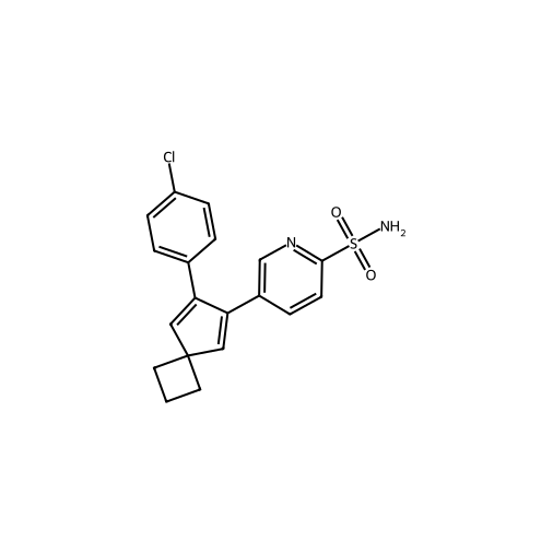 NS(=O)(=O)c1ccc(C2=CC3(C=C2c2ccc(Cl)cc2)CCC3)cn1